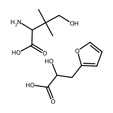 CC(C)(CO)C(N)C(=O)O.O=C(O)C(O)Cc1ccco1